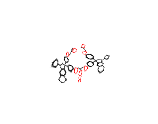 OC(COc1ccc(C2(c3ccc(OCC4CO4)cc3)CC(c3ccccc3)c3cc4c(cc32)CCCC4)cc1)COc1ccc(C2(c3ccc(OCC4CO4)cc3)CC(c3ccccc3)c3cc4c(cc32)CCCC4)cc1